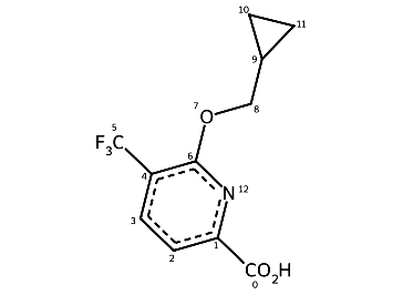 O=C(O)c1ccc(C(F)(F)F)c(OCC2CC2)n1